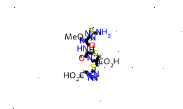 CON=C(C(=O)NC1C(=O)N2CC(CSc3nnnn3CC(=O)O)(C(=O)O)CS[C@H]12)c1nsc(N)n1